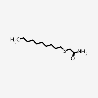 CCCCCCCCCCSCC(N)=O